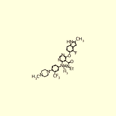 CCN(C)C(=O)c1c(Nc2ccc(N3CCN(C)CC3)c(C(F)(F)F)c2)ncnc1Oc1ccc2[nH]c(C)cc2c1F